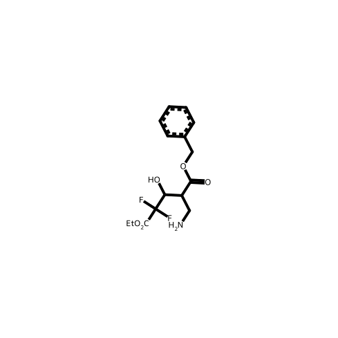 CCOC(=O)C(F)(F)C(O)C(CN)C(=O)OCc1ccccc1